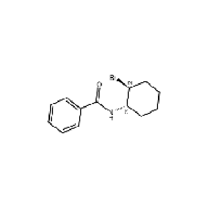 O=C(N[C@H]1CCCC[C@@H]1Br)c1ccccc1